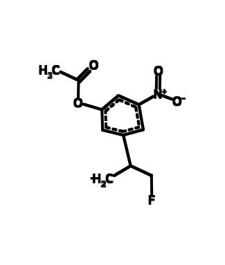 [CH2]C(CF)c1cc(OC(C)=O)cc([N+](=O)[O-])c1